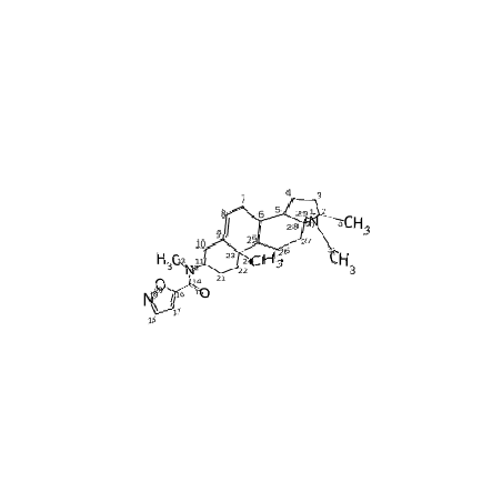 CC1C2CCC3C4CC=C5CC(N(C)C(=O)c6ccno6)CCC5(C)C4CCC32CN1C